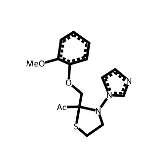 COc1ccccc1OCC1(C(C)=O)SCCN1n1ccnc1